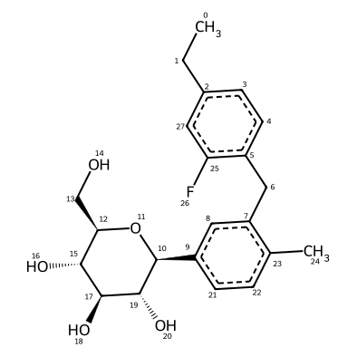 CCc1ccc(Cc2cc([C@@H]3O[C@H](CO)[C@@H](O)[C@H](O)[C@H]3O)ccc2C)c(F)c1